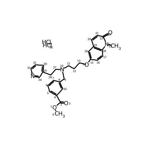 COC(=O)c1cccc(CN(CCCOc2ccc3c(ccc(=O)n3C)c2)CCc2cccnc2)c1.Cl.Cl